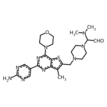 Cc1c(CN2CCN(C(C=O)N(C)C)CC2)sc2c(N3CCOCC3)nc(-c3cnc(N)nc3)nc12